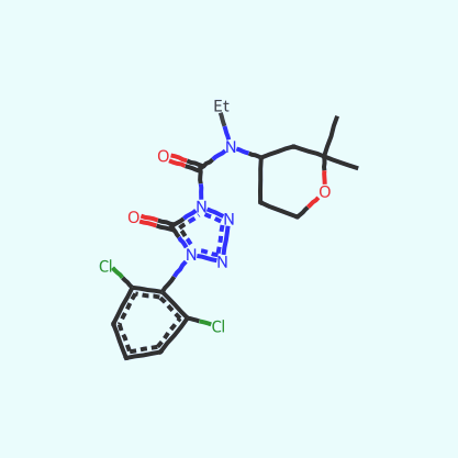 CCN(C(=O)n1nnn(-c2c(Cl)cccc2Cl)c1=O)C1CCOC(C)(C)C1